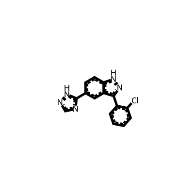 Clc1ccccc1-c1n[nH]c2ccc(-c3ncn[nH]3)cc12